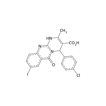 CC1=C(C(=O)O)C(c2ccc(Cl)cc2)n2c(nc3ccc(I)cc3c2=O)N1